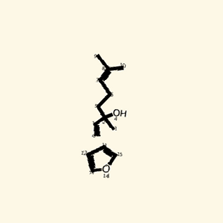 C=CC(C)(O)CCC=C(C)C.c1ccoc1